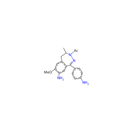 COc1cc2c(cc1N)C(c1ccc(N)cc1)=NN(C(C)=O)C(C)C2